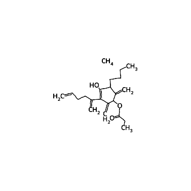 C.C=CCCC(=C)C1=C(O)C(CCCC)C(=C)C(OC(=O)CC)C1=C